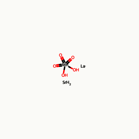 [La].[O]=[Mn](=[O])(=[O])([OH])[OH].[SrH2]